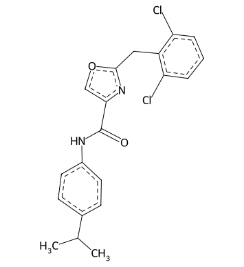 CC(C)c1ccc(NC(=O)c2coc(Cc3c(Cl)cccc3Cl)n2)cc1